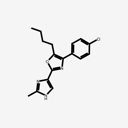 [CH2]CCCc1oc(-c2c[nH]c(C)n2)nc1-c1ccc(Cl)cc1